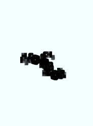 COc1cc(=O)n(CC(=O)Nc2ccc3cncnc3c2)nc1C1=CCC(C)(C)CC1